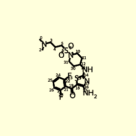 CN(C)CCCS(=O)(=O)N1CCC(Nc2nc(N)c(C(=O)c3c(F)cccc3F)s2)CC1